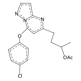 CC(=O)OC(C)CCc1cc(Oc2ccc(Cl)cc2)n2nccc2n1